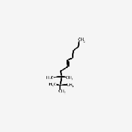 CCCCC=CCC(C)(C)C(C)(C)C